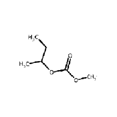 [CH2]OC(=O)OC(C)CC